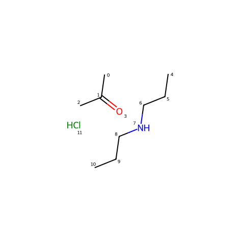 CC(C)=O.CCCNCCC.Cl